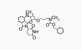 CN(CCCOC1CC(N(C)c2cccc3c2C(=O)N(C2CCC(=O)NC2=O)C3=O)C1)C(=O)OCc1ccccc1